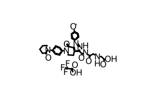 COc1ccc(-n2nc(C(=O)NC(=O)CNCC(=O)O)c3c2C(=O)N(c2ccc(N4CCCCC4=O)cc2)CC3)cc1.O=C(O)C(F)(F)F